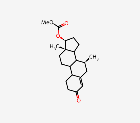 COC(=O)O[C@H]1CCC2C3C(CC[C@@]21C)C1CCC(=O)C=C1C[C@@H]3C